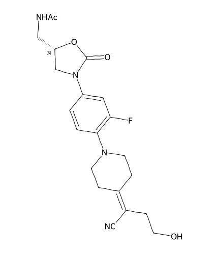 CC(=O)NC[C@H]1CN(c2ccc(N3CCC(=C(C#N)CCO)CC3)c(F)c2)C(=O)O1